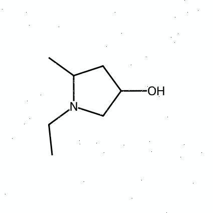 CCN1CC(O)CC1C